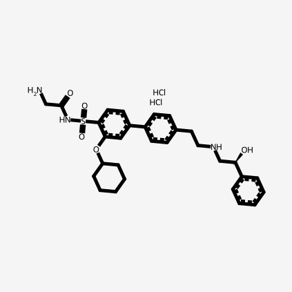 Cl.Cl.NCC(=O)NS(=O)(=O)c1ccc(-c2ccc(CCNC[C@@H](O)c3ccccc3)cc2)cc1OC1CCCCC1